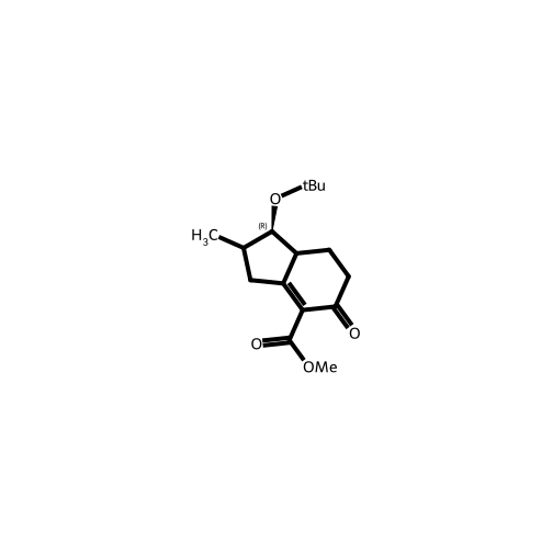 COC(=O)C1=C2CC(C)[C@@H](OC(C)(C)C)C2CCC1=O